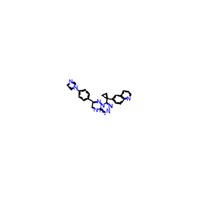 C=C1N=CC(c2ccc(-n3ccnc3)cc2)=NN1/C(=N\N)C1(c2ccc3ncccc3c2)CC1